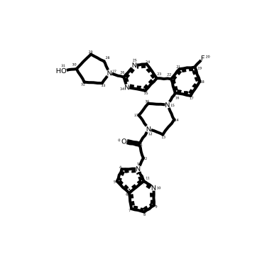 O=C(Cn1ccc2cccnc21)N1CCN(c2ccc(F)cc2-c2cnc(N3CCC(O)CC3)nc2)CC1